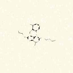 CCCCOc1nc(N)c2nc(NCCO)n(Cc3c(F)cccc3F)c2n1